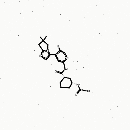 CC1(C)Cc2ncc(-c3cc(NC(=O)[C@H]4CCC[C@@H](NC(=O)O)C4)ncc3F)n2C1